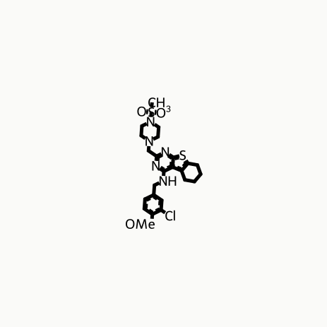 COc1ccc(CNc2nc(CN3CCN(S(C)(=O)=O)CC3)nc3sc4c(c23)CCCC4)cc1Cl